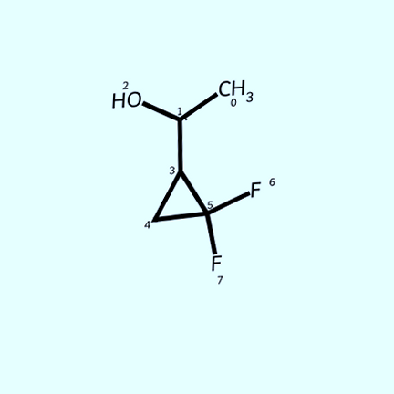 C[C](O)C1CC1(F)F